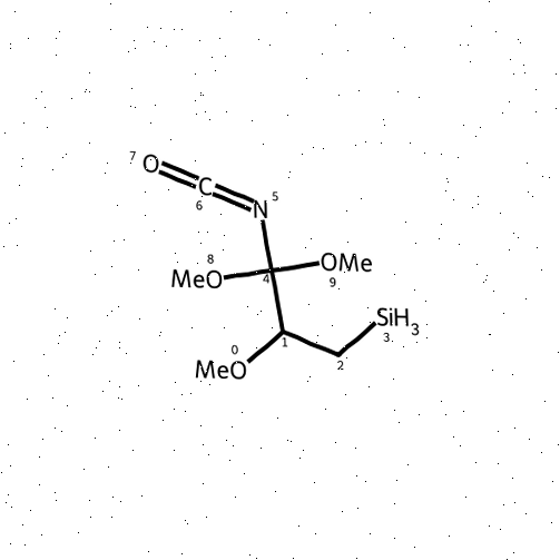 COC(C[SiH3])C(N=C=O)(OC)OC